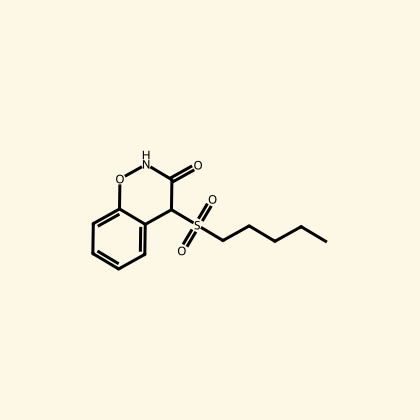 CCCCCS(=O)(=O)C1C(=O)NOc2ccccc21